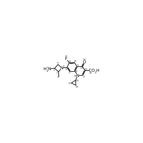 CC1C(N)CN1c1cc2c(cc1F)c(=O)c(C(=O)O)cn2C1CC1